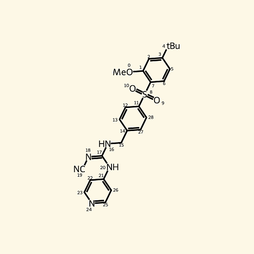 COc1cc(C(C)(C)C)ccc1S(=O)(=O)c1ccc(CNC(=NC#N)Nc2ccncc2)cc1